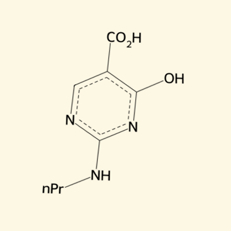 CCCNc1ncc(C(=O)O)c(O)n1